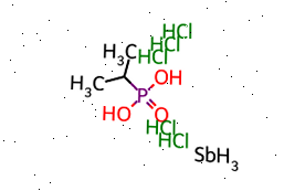 CC(C)P(=O)(O)O.Cl.Cl.Cl.Cl.Cl.[SbH3]